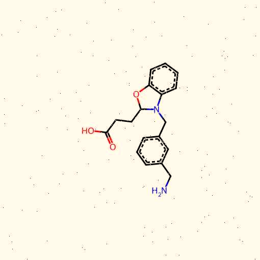 NCc1cccc(CN2c3ccccc3OC2CCC(=O)O)c1